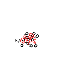 CO[C@H]1O[C@H](COCc2ccccc2)[C@@H](O[C@@H]2O[C@H](COCc3ccccc3)[C@H](O[C@@H]3O[C@H](COCc4ccccc4)[C@H](OCc4ccccc4)[C@H](OCc4ccccc4)[C@H]3OCc3ccccc3)[C@H](OCc3ccccc3)[C@H]2OCCO)[C@H](OCc2ccccc2)[C@H]1OCc1ccccc1